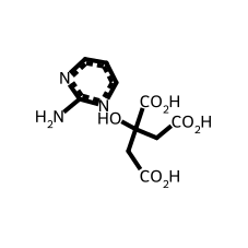 Nc1ncccn1.O=C(O)CC(O)(CC(=O)O)C(=O)O